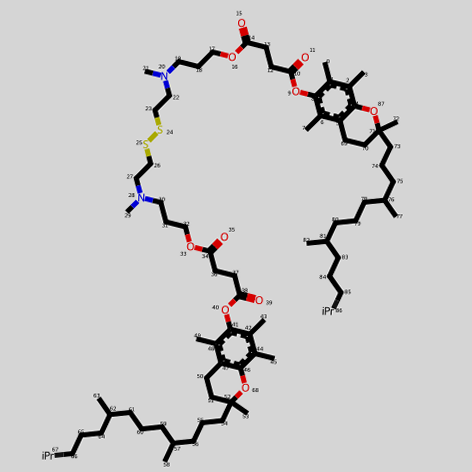 Cc1c(C)c2c(c(C)c1OC(=O)CCC(=O)OCCCN(C)CCSSCCN(C)CCCOC(=O)CCC(=O)Oc1c(C)c(C)c3c(c1C)CCC(C)(CCCC(C)CCCC(C)CCCC(C)C)O3)CCC(C)(CCCC(C)CCCC(C)CCCC(C)C)O2